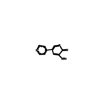 CNC1=CC(c2ccncc2)=C=NC1=O